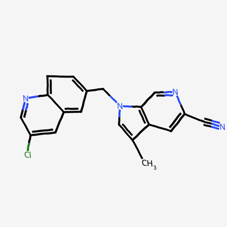 Cc1cn(Cc2ccc3ncc(Cl)cc3c2)c2cnc(C#N)cc12